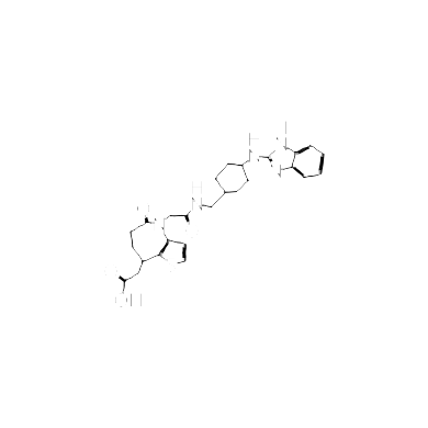 O=C(O)CC1CCC(=O)N(CC(=O)NCC2CCC(Nc3nc4ccccc4[nH]3)CC2)c2ccsc21